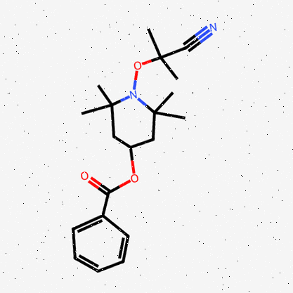 CC(C)(C#N)ON1C(C)(C)CC(OC(=O)c2ccccc2)CC1(C)C